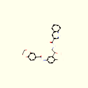 Cc1ccc(NC(=O)c2ccc3c(c2)OCCO3)cc1C(O)CNC(=O)c1cnc2ccccc2c1